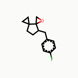 Fc1ccc(CC2CCC3(CC3)C23CO3)cc1